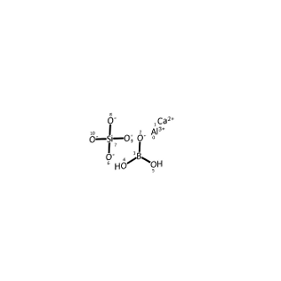 [Al+3].[Ca+2].[O-]B(O)O.[O-][Si]([O-])([O-])[O-]